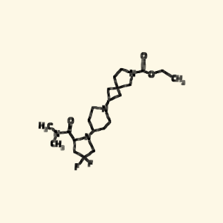 CCOC(=O)N1CCC2(CC(N3CCC(N4CC(F)(F)CC4C(=O)N(C)C)CC3)C2)C1